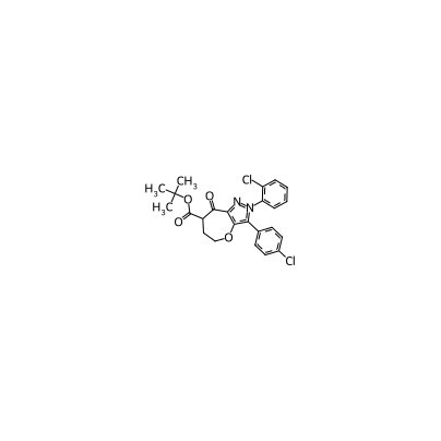 CC(C)(C)OC(=O)C1CCOc2c(nn(-c3ccccc3Cl)c2-c2ccc(Cl)cc2)C1=O